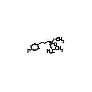 CC[Si](CC)(CCCc1ccc(F)cc1)OC